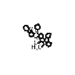 C=CC1=C(/C=C\C)C2(c3ccc(N(c4ccccc4)c4cccc5c4oc4ccccc45)cc31)c1ccccc1-c1ccccc12